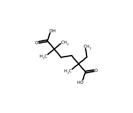 CCC(C)(CCC(C)(C)C(=O)O)C(=O)O